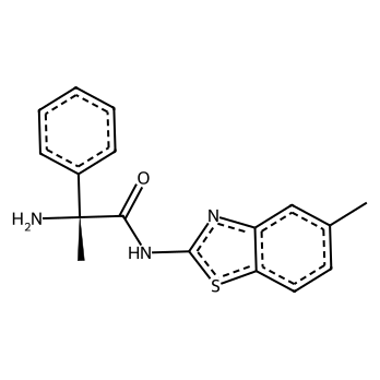 Cc1ccc2sc(NC(=O)[C@](C)(N)c3ccccc3)nc2c1